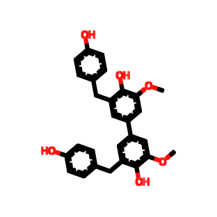 COc1cc(-c2cc(Cc3ccc(O)cc3)c(O)c(OC)c2)cc(Cc2ccc(O)cc2)c1O